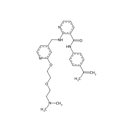 C=C(C)c1ccc(NC(=O)c2cccnc2NCc2ccnc(OCCOCCN(C)C)c2)cc1